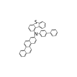 c1ccc(-c2ccc(N(c3ccc4c(ccc5c6ccccc6ccc45)c3)c3cccc4sc5ccccc5c34)cc2)cc1